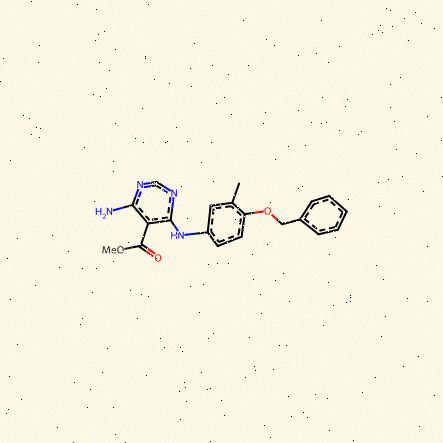 COC(=O)c1c(N)ncnc1Nc1ccc(OCc2ccccc2)c(C)c1